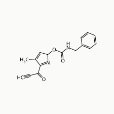 C#CC(=O)C1=NC(OC(=O)NCc2ccccc2)C=C1C